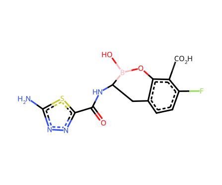 Nc1nnc(C(=O)NC2Cc3ccc(F)c(C(=O)O)c3OB2O)s1